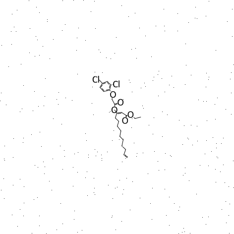 C=CCCCCCCCCC(=CC(=O)OCC)OC(=O)COc1ccc(Cl)cc1Cl